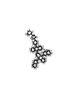 c1ccc(-c2ccc(-c3ccc(-c4c5ccccc5c(-c5ccc6c(-c7ccc8ccccc8c7)c7ccccc7c(-c7ccc8ccccc8c7)c6c5)c5ccccc45)cc3)s2)cc1